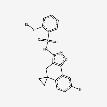 CCOc1ccccc1S(=O)(=O)Nc1noc2c1CC1(CC1)c1ccc(Br)cc1-2